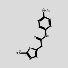 CC(=O)Nc1ccc(NC(=O)Cc2ccc([N+](=O)[O-])o2)cc1